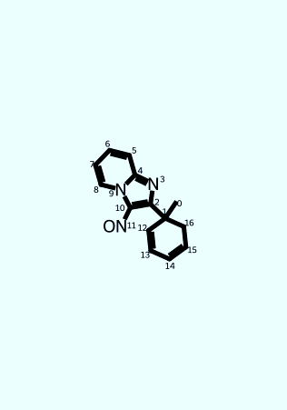 CC1(c2nc3ccccn3c2N=O)C=CC=CC1